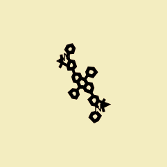 CC12CC1(C)N(c1ccccc1)c1ccc(-c3ccc4c(-c5ccccc5)c5cc(-c6ccc7c(c6)C6(C)CC6(C)N7c6ccccc6)ccc5c(-c5ccccc5)c4c3)cc12